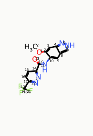 COc1cc2n[nH]cc2cc1NC(=O)c1ccc(C(F)(F)F)nn1